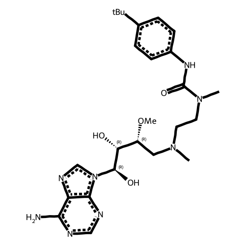 CO[C@H](CN(C)CCN(C)C(=O)Nc1ccc(C(C)(C)C)cc1)[C@@H](O)[C@@H](O)n1cnc2c(N)ncnc21